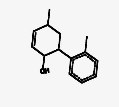 Cc1ccccc1C1CC(C)C=CC1O